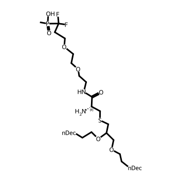 CCCCCCCCCCCCOCC(CSC[C@H](N)C(=O)NCCOCCOCCC(F)(F)P(C)(=O)O)OCCCCCCCCCCCC